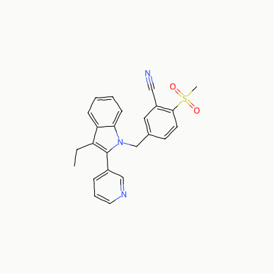 CCc1c(-c2cccnc2)n(Cc2ccc(S(C)(=O)=O)c(C#N)c2)c2ccccc12